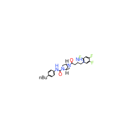 CCCCc1ccc(NC(=O)N2C[C@@H]3C[C@H]2CN3C(=O)C[C@H](N)Cc2cc(F)c(F)cc2F)cc1